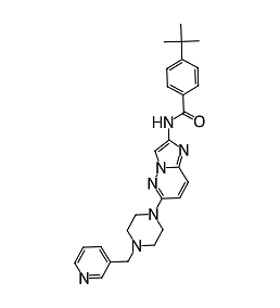 CC(C)(C)c1ccc(C(=O)Nc2cn3nc(N4CCN(Cc5cccnc5)CC4)ccc3n2)cc1